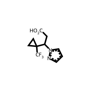 O=C(O)CC(n1cccn1)C1(C(F)(F)F)CC1